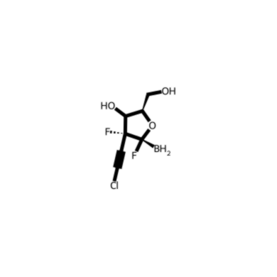 B[C@]1(F)O[C@H](CO)C(O)[C@]1(F)C#CCl